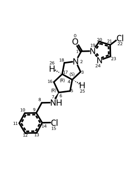 O=C(N1C[C@H]2C[C@@H](NCc3ccccc3Cl)C[C@H]2C1)n1cc(Cl)cn1